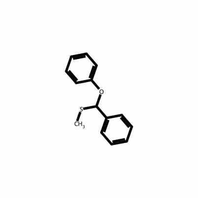 CS[C](Oc1ccccc1)c1ccccc1